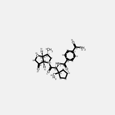 C[C@@H]1CN(C(=O)[C@@H](NC(=O)c2ccc(C(N)=O)cc2)C2(C)CCCC2)[C@@H]2C(=O)CO[C@H]12